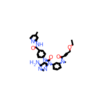 CCOCC#CC(=O)N(C)c1cccc(-n2c(=O)n(-c3ccc(C(=O)Nc4cc(C)ccn4)cc3)c3c(N)ncnc32)c1